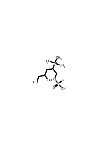 C[N+](C)(C)C(COP(=O)([O-])O)CC(O)CO